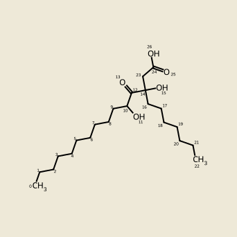 CCCCCCCCCCC(O)C(=O)C(O)(CCCCCCC)CC(=O)O